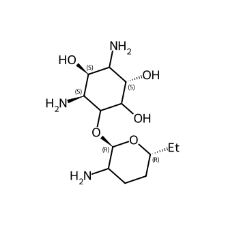 CC[C@@H]1CCC(N)[C@@H](OC2C(O)[C@@H](O)C(N)[C@H](O)[C@@H]2N)O1